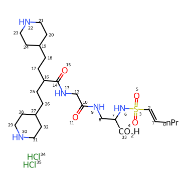 CCC/C=C/S(=O)(=O)NC(CNC(=O)CNC(=O)C(CCC1CCNCC1)CCC1CCNCC1)C(=O)O.Cl.Cl